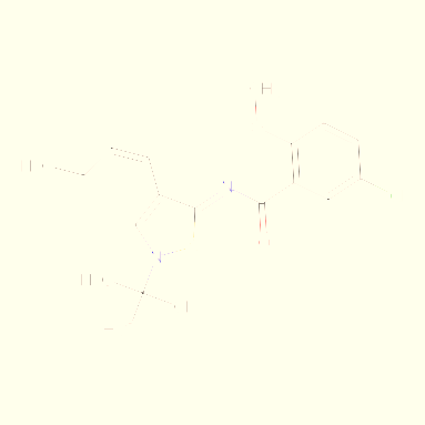 CC/C=C\c1cn(C(C)(C)C)sc1=NC(=O)c1cc(Cl)ccc1OC